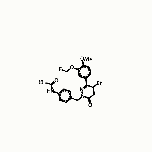 CCC1CC(=O)N(Cc2ccc(NC(=O)C(C)(C)C)cc2)N=C1c1ccc(OC)c(OCF)c1